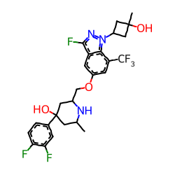 CC1CC(O)(c2ccc(F)c(F)c2)CC(COc2cc(C(F)(F)F)c3c(c2)c(F)nn3C2CC(C)(O)C2)N1